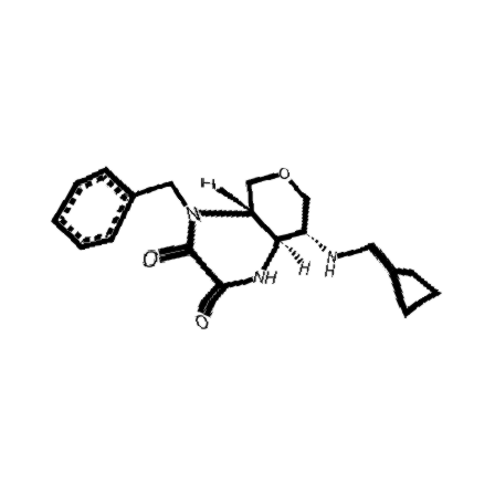 O=C1N[C@@H]2[C@@H](NCC3CC3)COC[C@H]2N(Cc2ccccc2)C1=O